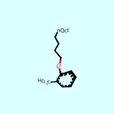 CCCCCCCCCCCCOc1ccccc1C(=O)O